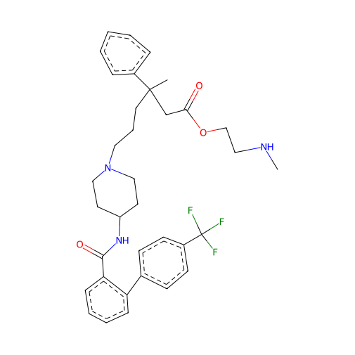 CNCCOC(=O)CC(C)(CCCN1CCC(NC(=O)c2ccccc2-c2ccc(C(F)(F)F)cc2)CC1)c1ccccc1